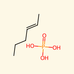 CC=CCCC.O=P(O)(O)O